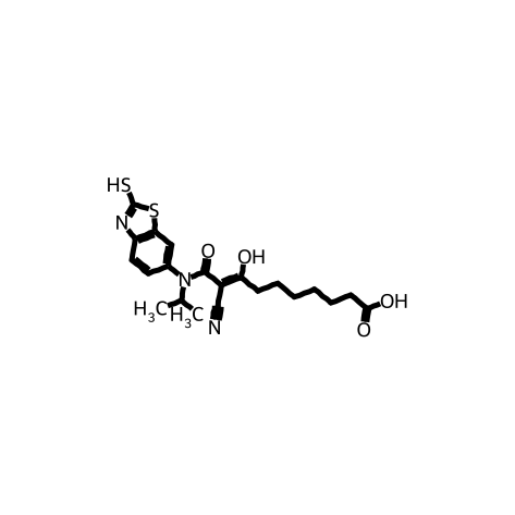 CC(C)N(C(=O)C(C#N)=C(O)CCCCCCC(=O)O)c1ccc2nc(S)sc2c1